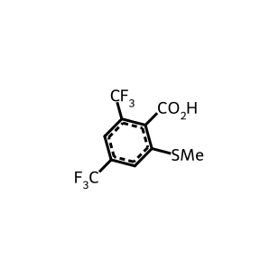 CSc1cc(C(F)(F)F)cc(C(F)(F)F)c1C(=O)O